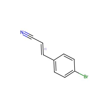 N#C/C=C/c1ccc(Br)cc1